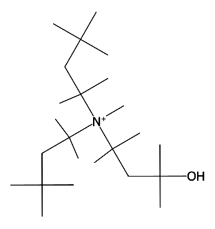 CC(C)(C)CC(C)(C)[N+](C)(C(C)(C)CC(C)(C)C)C(C)(C)CC(C)(C)O